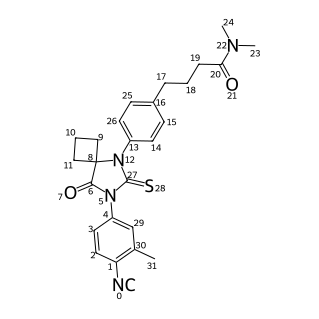 [C-]#[N+]c1ccc(N2C(=O)C3(CCC3)N(c3ccc(CCCC(=O)N(C)C)cc3)C2=S)cc1C